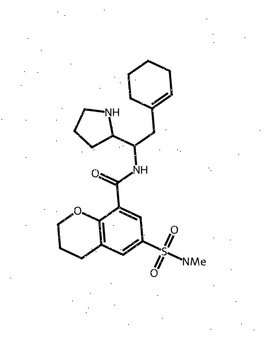 CNS(=O)(=O)c1cc2c(c(C(=O)NC(CC3=CCCCC3)C3CCCN3)c1)OCCC2